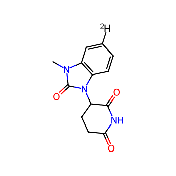 [2H]c1ccc2c(c1)n(C)c(=O)n2C1CCC(=O)NC1=O